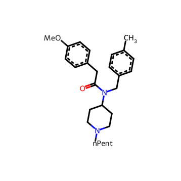 CCCCCN1CCC(N(Cc2ccc(C)cc2)C(=O)Cc2ccc(OC)cc2)CC1